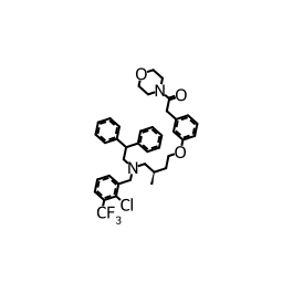 C[C@H](CCOc1cccc(CC(=O)N2CCOCC2)c1)CN(Cc1cccc(C(F)(F)F)c1Cl)CC(c1ccccc1)c1ccccc1